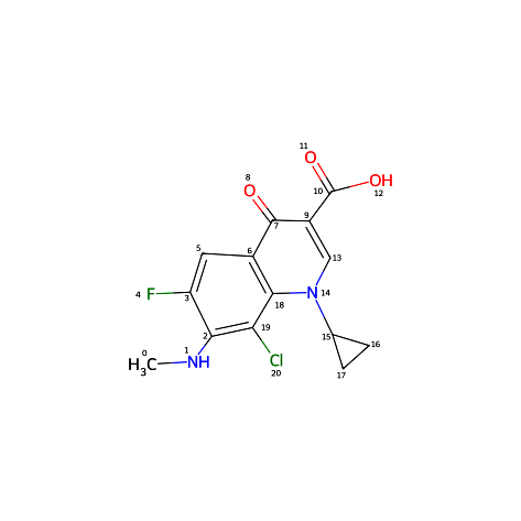 CNc1c(F)cc2c(=O)c(C(=O)O)cn(C3CC3)c2c1Cl